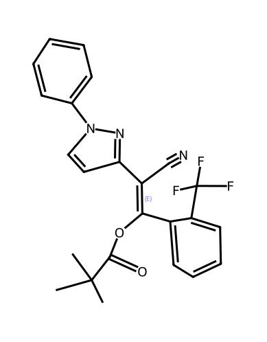 CC(C)(C)C(=O)O/C(=C(/C#N)c1ccn(-c2ccccc2)n1)c1ccccc1C(F)(F)F